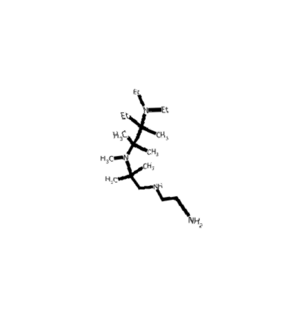 CCN(CC)C(C)(CC)C(C)(C)N(C)C(C)(C)CNCCN